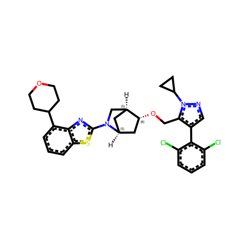 Clc1cccc(Cl)c1-c1cnn(C2CC2)c1CO[C@@H]1C[C@@H]2C[C@H]1CN2c1nc2c(C3CCOCC3)cccc2s1